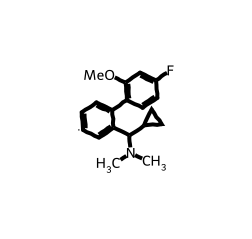 COc1cc(F)ccc1-c1cc[c]cc1C(C1CC1)N(C)C